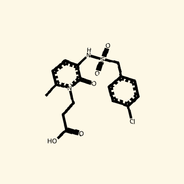 Cc1ccc(NS(=O)(=O)Cc2ccc(Cl)cc2)c(=O)n1CCC(=O)O